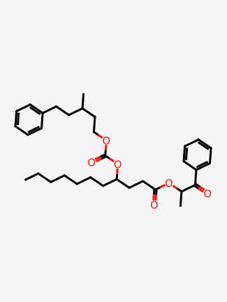 CCCCCCCC(CCC(=O)OC(C)C(=O)c1ccccc1)OC(=O)OCCC(C)CCc1ccccc1